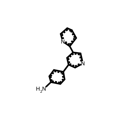 Nc1ccc(-c2cncc(-c3ccccn3)c2)cc1